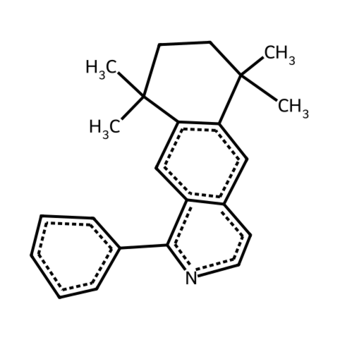 CC1(C)CCC(C)(C)c2cc3c(-c4ccccc4)nccc3cc21